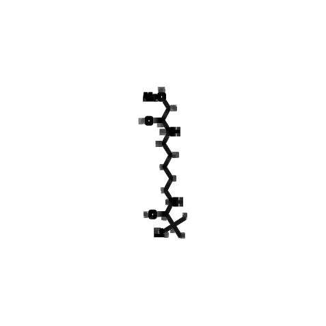 CCC(C)(C)C(=O)NCCCCCNC(=O)COC